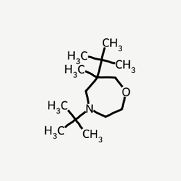 CC(C)(C)N1CCOCC(C)(C(C)(C)C)C1